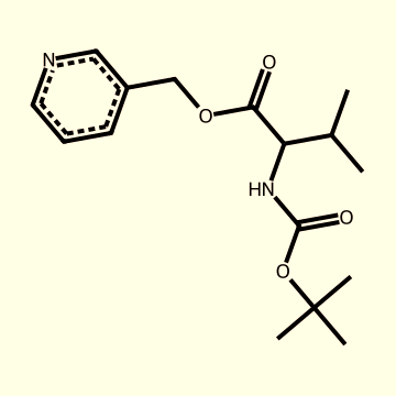 CC(C)C(NC(=O)OC(C)(C)C)C(=O)OCc1cccnc1